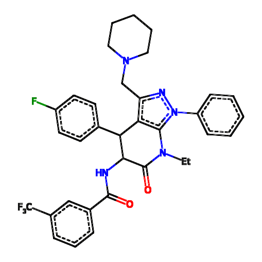 CCN1C(=O)C(NC(=O)c2cccc(C(F)(F)F)c2)C(c2ccc(F)cc2)c2c(CN3CCCCC3)nn(-c3ccccc3)c21